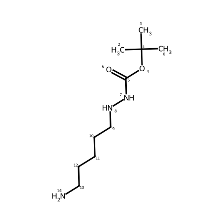 CC(C)(C)OC(=O)NNCCCCCN